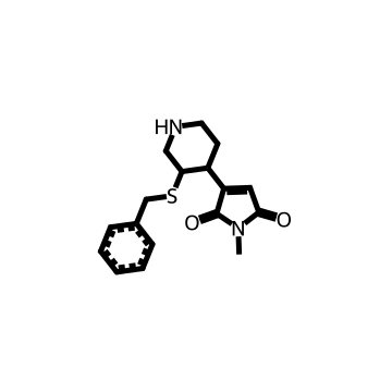 CN1C(=O)C=C(C2CCNCC2SCc2ccccc2)C1=O